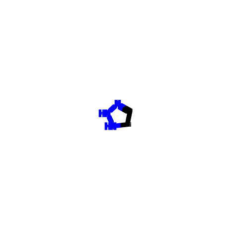 [C]1C=NNN1